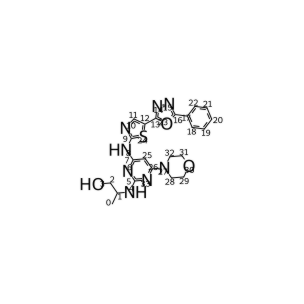 CC(CO)Nc1nc(Nc2ncc(-c3nnc(-c4ccccc4)o3)s2)cc(N2CCOCC2)n1